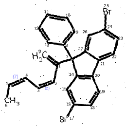 C=C(/C=C\C=C/C)C1(c2ccccc2)c2cc(Br)ccc2-c2ccc(Br)cc21